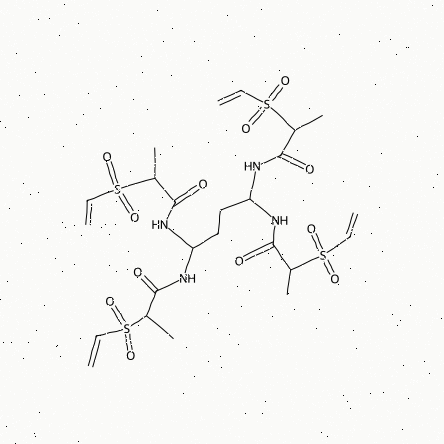 C=CS(=O)(=O)C(C)C(=O)NC(CCC(NC(=O)C(C)S(=O)(=O)C=C)NC(=O)C(C)S(=O)(=O)C=C)NC(=O)C(C)S(=O)(=O)C=C